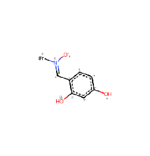 CC(C)[N+]([O-])=Cc1ccc(O)cc1O